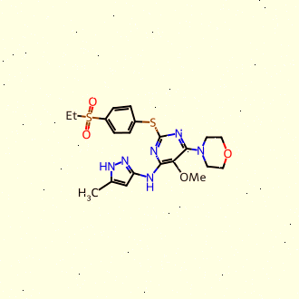 CCS(=O)(=O)c1ccc(Sc2nc(Nc3cc(C)[nH]n3)c(OC)c(N3CCOCC3)n2)cc1